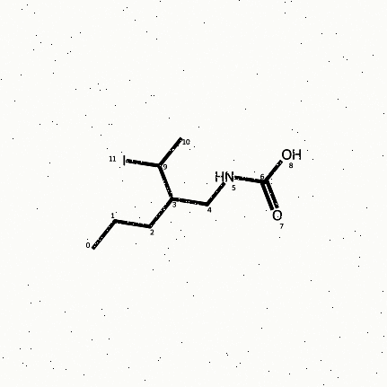 CCCC(CNC(=O)O)C(C)I